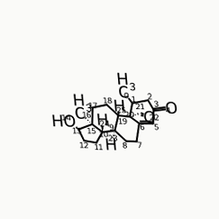 CC1CC(=O)C=C2CC[C@H]3[C@@H]4CC[C@H](O)[C@@]4(C)CC[C@@H]3[C@]21C=O